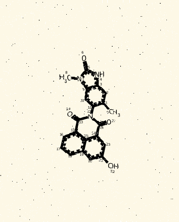 Cc1cc2[nH]c(=O)n(C)c2cc1N1C(=O)c2cccc3cc(O)cc(c23)C1=O